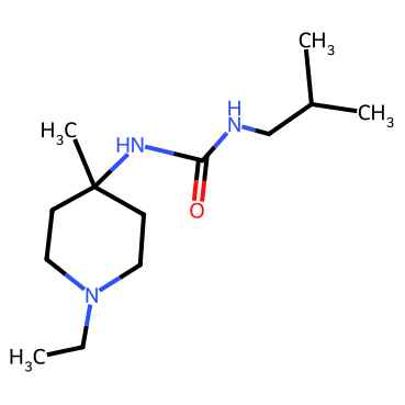 CCN1CCC(C)(NC(=O)NCC(C)C)CC1